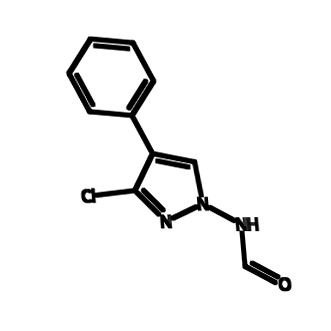 O=CNn1cc(-c2ccccc2)c(Cl)n1